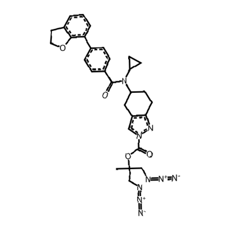 CC(CN=[N+]=[N-])(CN=[N+]=[N-])OC(=O)n1cc2c(n1)CCC(N(C(=O)c1ccc(-c3cccc4c3OCC4)cc1)C1CC1)C2